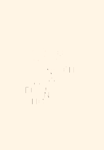 CCOC(=NO)ON=C(C)C(=O)c1ccccc1